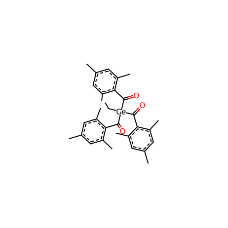 C[CH2][Ge]([C](=O)c1c(C)cc(C)cc1C)([C](=O)c1c(C)cc(C)cc1C)[C](=O)c1c(C)cc(C)cc1C